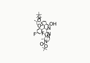 C[C@H](COc1cc(F)cc(F)c1-c1c(-c2cc3n(n2)CCN(C(=O)OC(C)(C)C)[C@H]3C)nc(O)c2ccsc12)O[Si](C)(C)C(C)(C)C